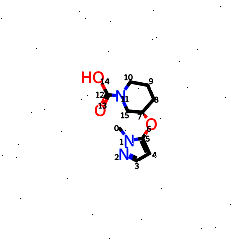 Cn1nccc1O[C@@H]1CCCN(C(=O)O)C1